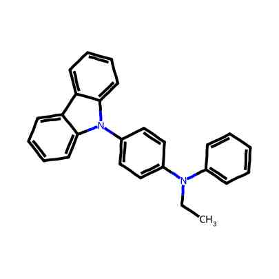 CCN(c1ccccc1)c1ccc(-n2c3ccccc3c3ccccc32)cc1